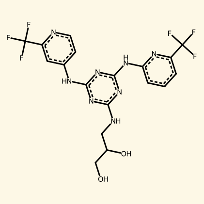 OCC(O)CNc1nc(Nc2ccnc(C(F)(F)F)c2)nc(Nc2cccc(C(F)(F)F)n2)n1